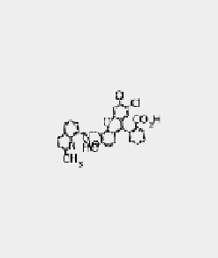 Cc1ccc2cccc(N(Cc3c(O)ccc4c(-c5ccccc5C(=O)O)c5cc(Cl)c(=O)cc-5oc34)N=O)c2n1